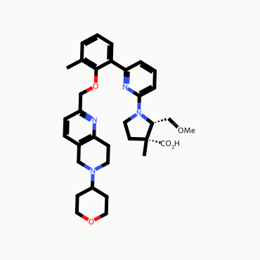 COC[C@H]1N(c2cccc(-c3cccc(C)c3OCc3ccc4c(n3)CCN(C3CCOCC3)C4)n2)CC[C@@]1(C)C(=O)O